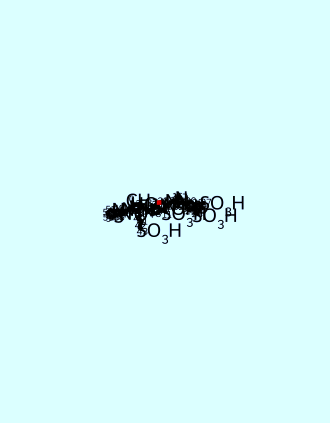 Cc1cc(N=Nc2ccc3c(S(=O)(=O)O)c(N=Nc4cnn(-c5ccc6c(S(=O)(=O)O)cc(S(=O)(=O)O)cc6c5)c4O)ccc3c2O)c(OCCCS(=O)(=O)O)cc1N=Nc1nc2ccccc2s1